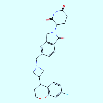 O=C1CCC(N2Cc3cc(CN4CC(C5CCOc6cc(F)ccc65)C4)ccc3C2=O)C(=O)N1